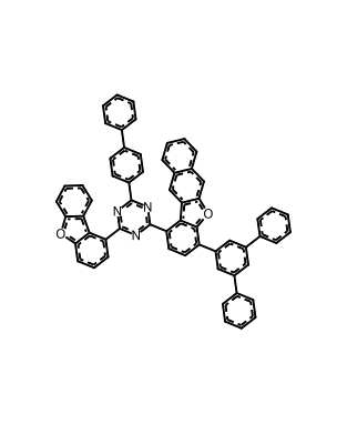 c1ccc(-c2ccc(-c3nc(-c4cccc5oc6ccccc6c45)nc(-c4ccc(-c5cc(-c6ccccc6)cc(-c6ccccc6)c5)c5oc6cc7ccccc7cc6c45)n3)cc2)cc1